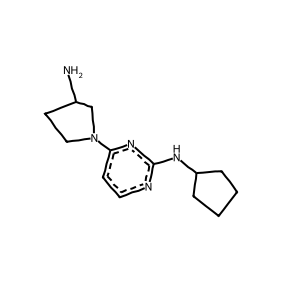 NC1CCN(c2ccnc(NC3CCCC3)n2)C1